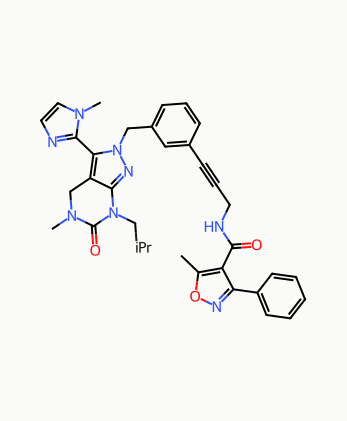 Cc1onc(-c2ccccc2)c1C(=O)NCC#Cc1cccc(Cn2nc3c(c2-c2nccn2C)CN(C)C(=O)N3CC(C)C)c1